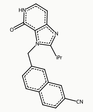 CC(C)c1nc2cc[nH]c(=O)c2n1Cc1ccc2ccc(C#N)cc2c1